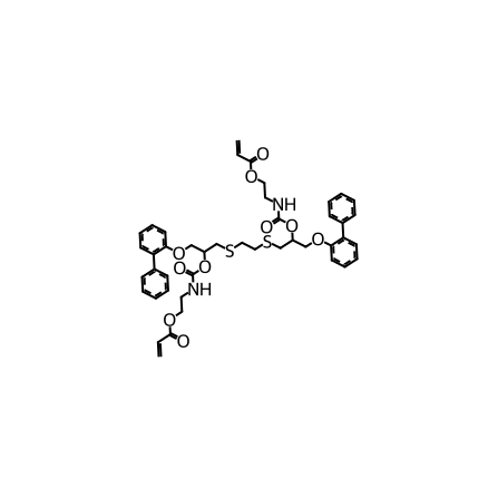 C=CC(=O)OCCNC(=O)OC(COc1ccccc1-c1ccccc1)CSCCSCC(COc1ccccc1-c1ccccc1)OC(=O)NCCOC(=O)C=C